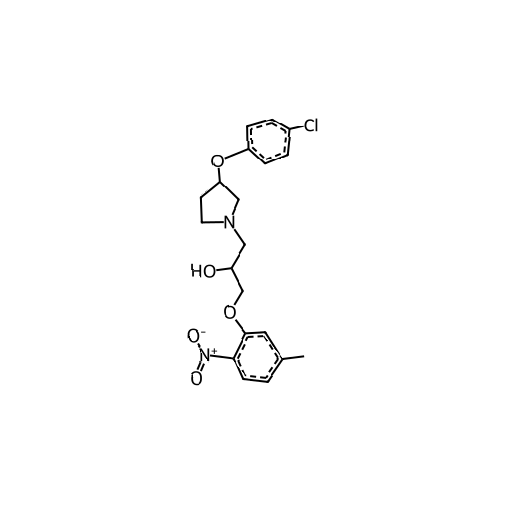 Cc1ccc([N+](=O)[O-])c(OCC(O)CN2CCC(Oc3ccc(Cl)cc3)C2)c1